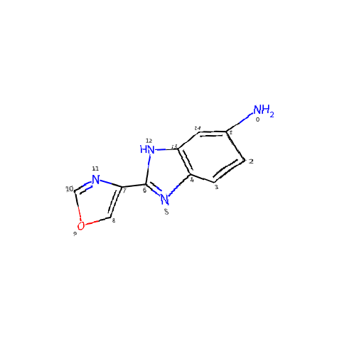 Nc1ccc2nc(-c3cocn3)[nH]c2c1